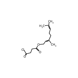 CC(C)=CCCC(C)=CCOC(=O)CCC(=O)Cl